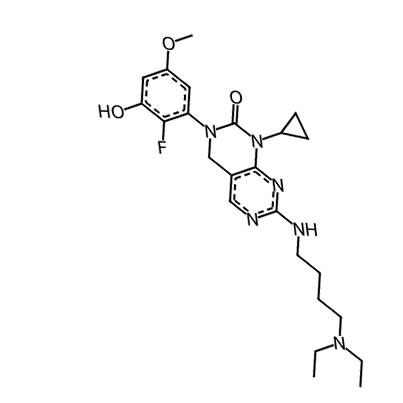 CCN(CC)CCCCNc1ncc2c(n1)N(C1CC1)C(=O)N(c1cc(OC)cc(O)c1F)C2